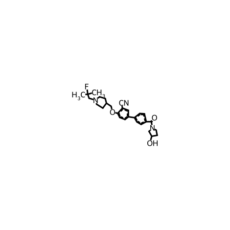 CC(C)(F)CN1CCC(COc2ccc(-c3ccc(C(=O)N4CCC(O)C4)cc3)cc2C#N)CC1